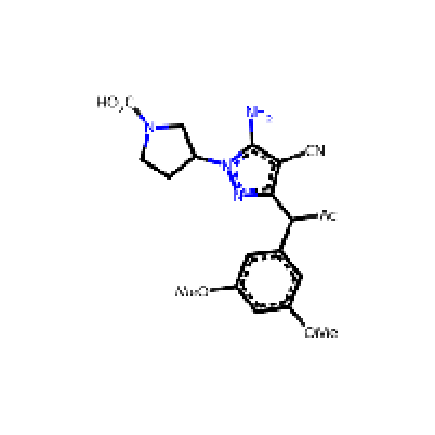 COc1cc(OC)cc(C(C(C)=O)c2nn(C3CCN(C(=O)O)C3)c(N)c2C#N)c1